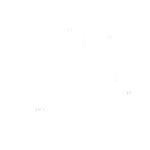 O=Cc1occ(-c2ccc(O)cc2)c1-c1ccc(O)cc1